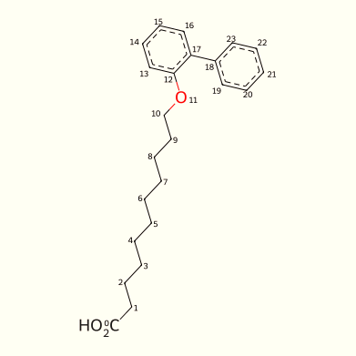 O=C(O)CCCCCCCCCCOc1ccccc1-c1ccccc1